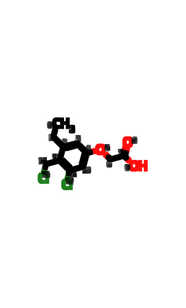 CCc1cc(OCC(=O)O)cc(Cl)c1CCl